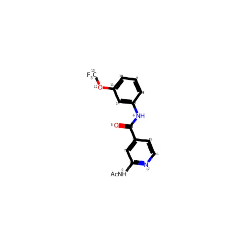 CC(=O)Nc1cc(C(=O)Nc2cccc(OC(F)(F)F)c2)ccn1